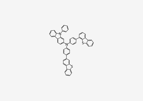 c1ccc(-n2c3ccccc3c3ccc(N(c4ccc(-c5ccc6c(c5)sc5ccccc56)cc4)c4ccc(-c5cccc6c5sc5ccccc56)cc4)cc32)cc1